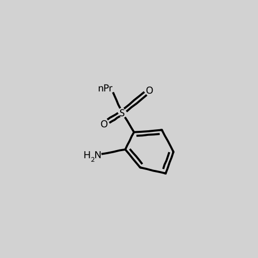 CCCS(=O)(=O)c1ccccc1N